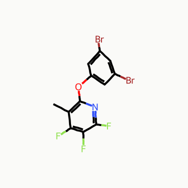 Cc1c(Oc2cc(Br)cc(Br)c2)nc(F)c(F)c1F